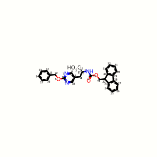 O=C(N[C@@H](Cc1cnc(OCc2ccccc2)nc1)C(=O)O)OCC1c2ccccc2-c2ccccc21